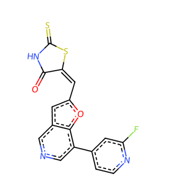 O=C1NC(=S)S/C1=C/c1cc2cncc(-c3ccnc(F)c3)c2o1